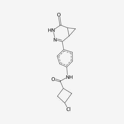 O=C(Nc1ccc(C2=NNC(=O)C3CC23)cc1)C1CC(Cl)C1